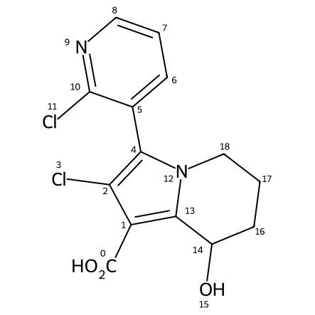 O=C(O)c1c(Cl)c(-c2cccnc2Cl)n2c1C(O)CCC2